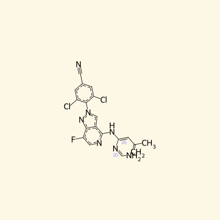 C=C(C)/C=C(\N=C/N)Nc1ncc(F)c2nn(-c3c(Cl)cc(C#N)cc3Cl)cc12